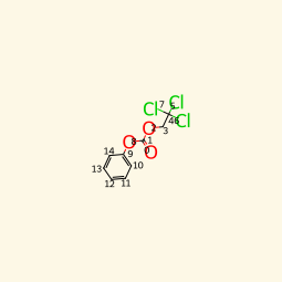 O=C(OCC(Cl)(Cl)Cl)Oc1ccccc1